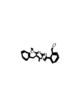 COc1nc2nc(-c3ccccc3C=O)cn2c(C)c1Cc1ccccc1